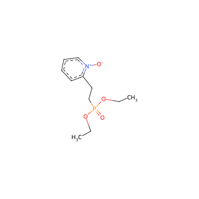 CCOP(=O)(CCc1cccc[n+]1[O-])OCC